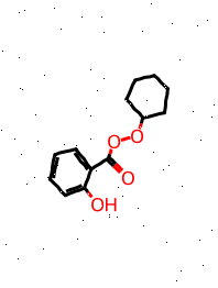 O=C(OOC1CCCCC1)c1ccccc1O